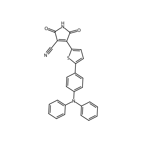 N#CC1=C(c2ccc(-c3ccc(N(c4ccccc4)c4ccccc4)cc3)s2)C(=O)NC1=O